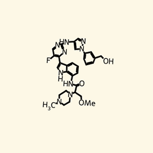 COCC(C(=O)Nc1cccc2c(-c3nc(Nc4cnn(-c5cccc(CO)c5)c4)ncc3F)c[nH]c12)N1CCN(C)CC1